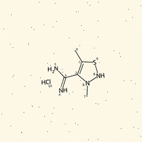 CC1=C(C(=N)N)N(C)NS1.Cl